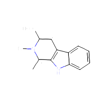 CC(C)N1C(C(=O)O)Cc2c([nH]c3ccccc23)C1C